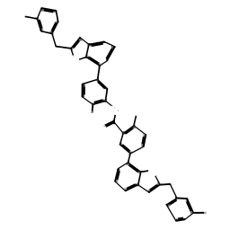 O=C(Nc1cc(-c2cccc3cc(Cc4cccc(C(F)(F)F)c4)sc23)ccc1F)c1cc(-c2cccc3cc(Cc4cccc(C(F)(F)F)c4)sc23)ccc1F